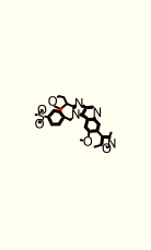 COc1cc2c(cc1-c1c(C)noc1C)ncc1nc(C3CCOCC3)n(Cc3ccc(S(C)(=O)=O)cc3)c12